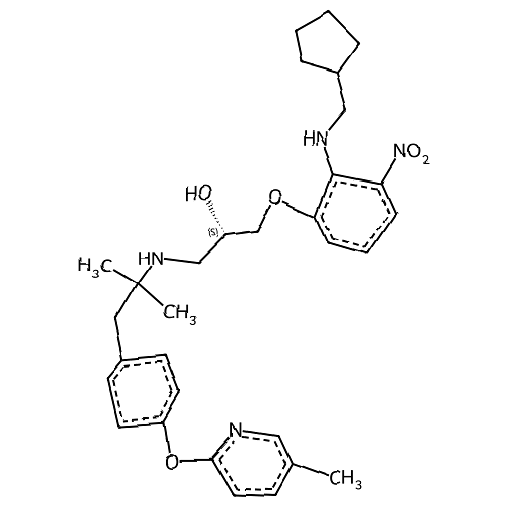 Cc1ccc(Oc2ccc(CC(C)(C)NC[C@H](O)COc3cccc([N+](=O)[O-])c3NCC3CCCC3)cc2)nc1